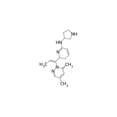 C=C1C=C(C)C=NN1/C(=C\C)C1CC=CC(NC2CCNC2)=N1